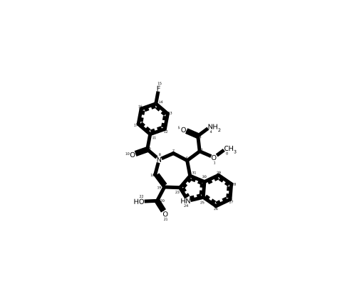 COC(C(N)=O)C1CN(C(=O)c2ccc(F)cc2)C=C(C(=O)O)c2[nH]c3ccccc3c21